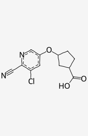 N#Cc1ncc(OC2CCC(C(=O)O)C2)cc1Cl